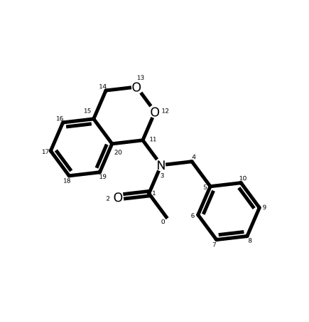 CC(=O)N(Cc1ccccc1)C1OOCc2ccccc21